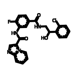 O=C(NCC(O)c1ccccc1Cl)c1ccc(F)c(NC(=O)c2cnc3ccccn23)c1